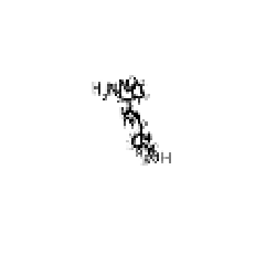 Cc1cccc2c(-c3cn(Cc4cccc(C(C)(C)O)n4)nn3)cc(N)nc12